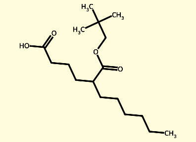 CCCCCCC(CCCC(=O)O)C(=O)OCC(C)(C)C